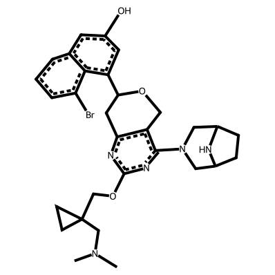 CN(C)CC1(COc2nc3c(c(N4CC5CCC(C4)N5)n2)COC(c2cc(O)cc4cccc(Br)c24)C3)CC1